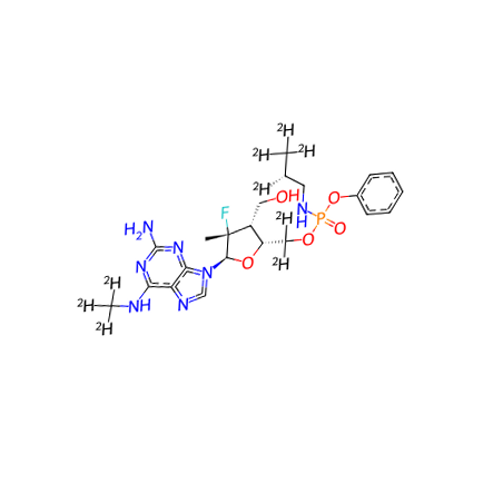 [2H][C@@H](CNP(=O)(Oc1ccccc1)OC([2H])([2H])[C@@H]1O[C@@H](n2cnc3c(NC([2H])([2H])[2H])nc(N)nc32)[C@](C)(F)[C@@H]1CO)C([2H])([2H])[2H]